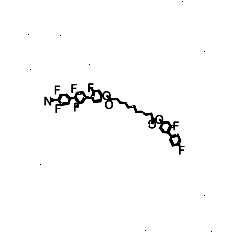 N#Cc1c(F)cc(-c2c(F)cc(-c3ccc(OC(=O)CCCCCCCCCC(=O)Oc4ccc(-c5ccc(F)cc5)c(F)c4)cc3F)cc2F)cc1F